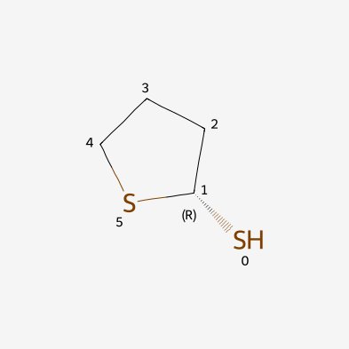 S[C@H]1CCCS1